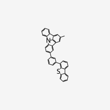 Cc1cc2c3ccccc3n3c4ccc(-c5cccc(-c6cccc7c6sc6ccccc67)c5)cc4c(c1)c23